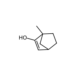 CC12CCC(C=C1O)C2